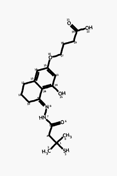 CC(C)(S)CC(=O)N/N=C1\CCCc2cc(OCCCC(=O)O)cc(O)c21